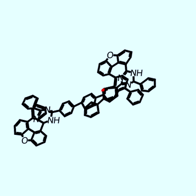 c1ccc(C2=NC(c3cccc4oc5cccc(-c6ccccc6)c5c34)NC(c3ccc(-c4ccc(-c5ccc6c(-c7ccccc7)ccc(-c7cccc8oc9cccc(C%10=NC(c%11ccc(-c%12ccccc%12)cc%11)=NC(c%11ccccc%11)N%10)c9c78)c6c5)cc4)cc3)=N2)cc1